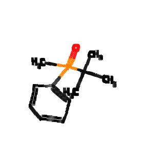 CC(C)(C)P(C)(=O)c1ccccc1